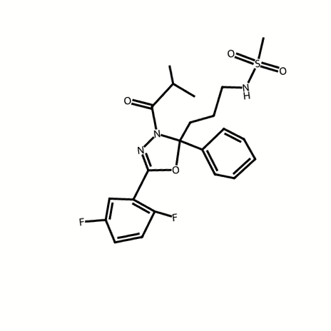 CC(C)C(=O)N1N=C(c2cc(F)ccc2F)OC1(CCCNS(C)(=O)=O)c1ccccc1